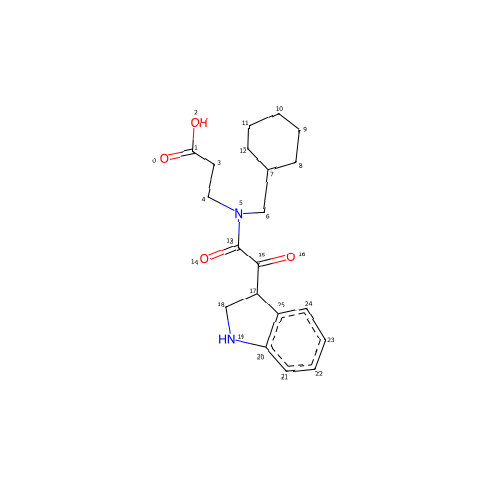 O=C(O)CCN(CC1CCCCC1)C(=O)C(=O)C1CNc2ccccc21